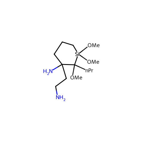 CCCC1(OC)C(N)(CCN)CCC[Si]1(OC)OC